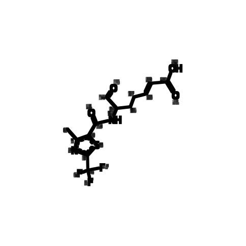 Cc1nc(C(F)(F)F)sc1C(=O)NC(C=O)CCC=CC(=O)O